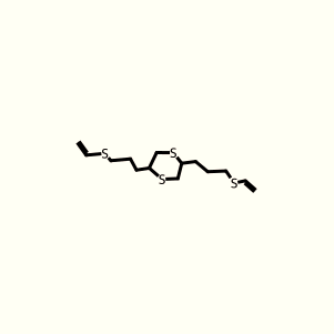 C=CSCCCC1CSC(CCCSC=C)CS1